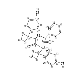 O=CC(O)(C(=O)C(OCc1ccccn1)C1(c2ccc(Cl)cc2)CCC1)C1(c2ccc(Cl)cc2)CCC1